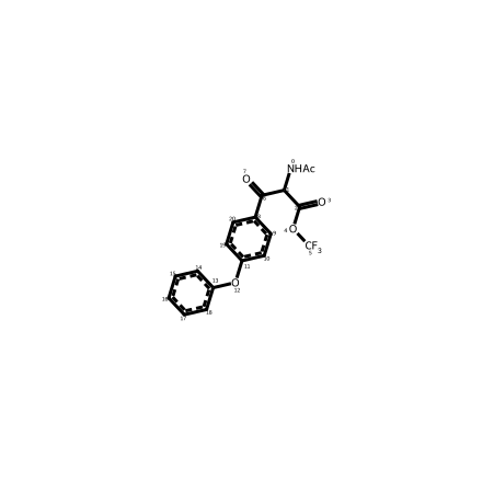 CC(=O)NC(C(=O)OC(F)(F)F)C(=O)c1ccc(Oc2ccccc2)cc1